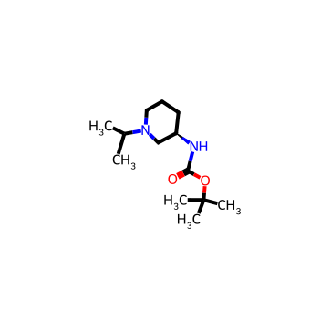 CC(C)N1CCC[C@@H](NC(=O)OC(C)(C)C)C1